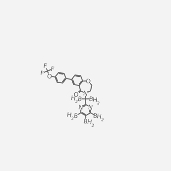 Bc1nc(C(B)(B)N2CCOc3ccc(-c4ccc(OC(F)(F)F)cc4)cc3C2=O)nc(B)c1B